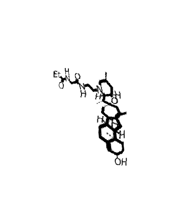 CCC(=O)NCC(=O)NCCN1C[C@@H](C)C[C@H]2O[C@]3(CC[C@@H]4C(=C(C)C3)C[C@H]3[C@H]4CCC4=C[C@@H](O)CC[C@@]43C)[C@H](C)[C@@H]21